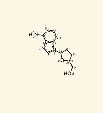 Nc1ncnc2c1ncn2C1CC[C@@H](CO)O1